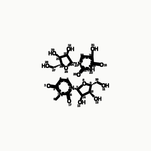 Cn1c(=O)ccn([C@@H]2O[C@H](CO)[C@@H](O)[C@H]2O)c1=O.O=c1[nH]c(=O)n([C@@H]2O[C@H](CO)[C@@H](O)[C@H]2O)cc1O